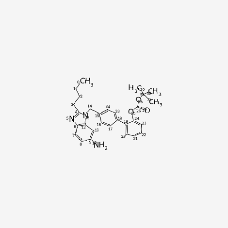 CCCCc1nc2ccc(N)cc2n1Cc1ccc(-c2ccccc2OC(=O)OC(C)(C)C)cc1